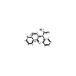 CCC(Br)C(c1ccccc1)n1cnc2ccccc2c1=O